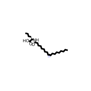 CCCCCCCC/C=C\CCCCCCCC(=O)N[C@@H](CCCC)C(=O)O